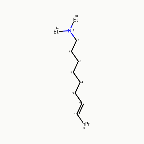 CCCC=CCCCCCCN(CC)CC